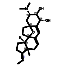 C/N=C1\CC[C@H]2[C@@]34CC[C@]5(C[C@H](N(C)C)[C@@H](O)[C@H](O)C5=CC3=CC[C@]12C)O4